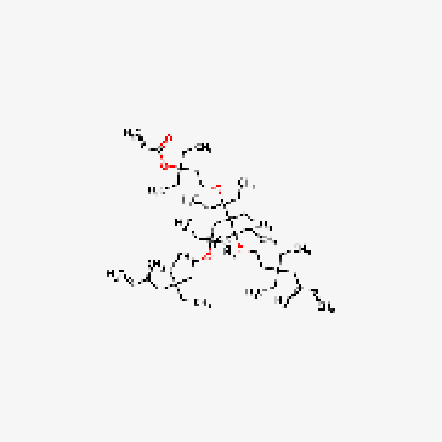 C=CC(=C)CC(CC)(CC)CCOC(C)(CC)CC(CC)(C(C)(CC)OCCC(CC)(CC)CC(=C)C=C)C(CC)(CC)OCCC(CC)(CC)OC(=O)C=C